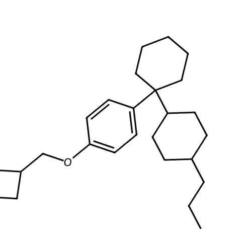 CCCC1CCC(C2(c3ccc(OCC4CCC4)cc3)CCCCC2)CC1